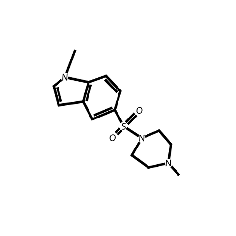 CN1CCN(S(=O)(=O)c2ccc3c(ccn3C)c2)CC1